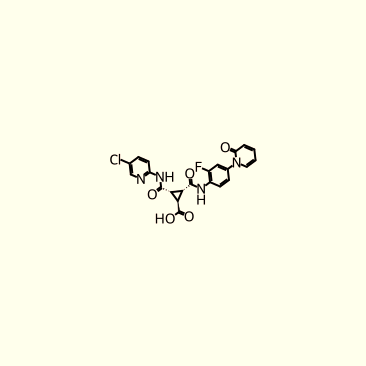 O=C(O)[C@@H]1[C@@H](C(=O)Nc2ccc(-n3ccccc3=O)cc2F)[C@H]1C(=O)Nc1ccc(Cl)cn1